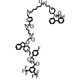 CN(CCCCCC(=O)N(C)CCN1CCC(N(C(=O)O)c2ccccc2-c2ccccc2)CC1)Cc1ccc(C(=O)N(C)CCCN(C)C(=O)CO[C@H]2Cc3ccccc3C23CCN(CC[C@]2(c4ccc(F)cc4)CN(C(=O)c4cc(C(F)(F)F)cc(C(F)(F)F)c4)CO2)CC3)s1